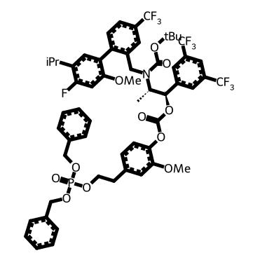 COc1cc(CCOP(=O)(OCc2ccccc2)OCc2ccccc2)ccc1OC(=O)O[C@H](c1cc(C(F)(F)F)cc(C(F)(F)F)c1)[C@H](C)N(Cc1cc(C(F)(F)F)ccc1-c1cc(C(C)C)c(F)cc1OC)C(=O)OC(C)(C)C